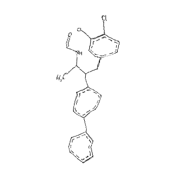 CC(NC=O)C(Cc1ccc(Cl)c(Cl)c1)c1ccc(-c2ccccc2)cc1